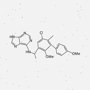 COc1ccc(-c2c(C)c(Cl)cc(C(C)Nc3ncnc4[nH]cnc34)c2OC)cc1